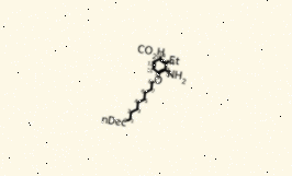 CCCCCCCCCCCCCCCCCCOc1ccc(C(=O)O)c(CC)c1N